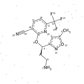 Cc1cc([C@@H](CCN)Oc2nc(C(F)(F)F)ccc2C#N)no1